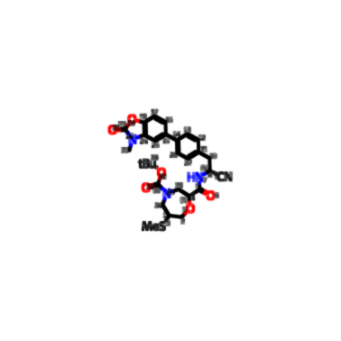 CSC1CO[C@H](C(=O)N[C@H](C#N)Cc2ccc(-c3ccc4oc(=O)n(C)c4c3)cc2)CN(C(=O)OC(C)(C)C)C1